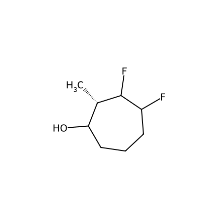 C[C@H]1C(O)CCCC(F)C1F